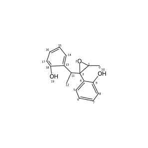 CC1OC1(c1ccccc1O)C(C)c1ccccc1O